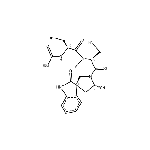 CC(C)C[C@@H](C(=O)N1C[C@]2(C[C@H]1C#N)C(=O)Nc1ccccc12)N(C)C(=O)[C@H](CC(C)(C)C)NC(=O)C(C)(C)C